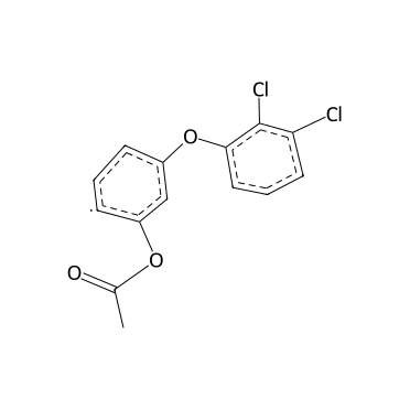 CC(=O)Oc1[c]ccc(Oc2cccc(Cl)c2Cl)c1